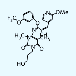 COc1cc(/C=C(C)\C(=N/c2c(C)c(=O)n(CCCO)c(=O)n2C)Oc2cccc(OC(F)(F)F)c2)ccn1